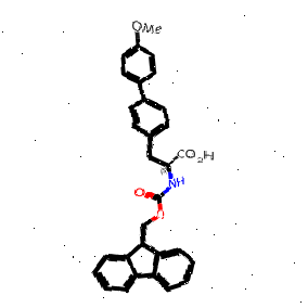 COc1ccc(-c2ccc(C[C@H](NC(=O)OCC3c4ccccc4-c4ccccc43)C(=O)O)cc2)cc1